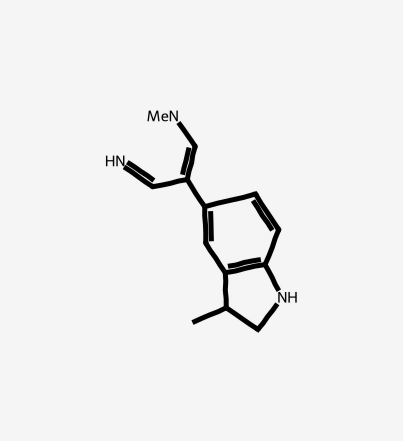 CN/C=C(\C=N)c1ccc2c(c1)C(C)CN2